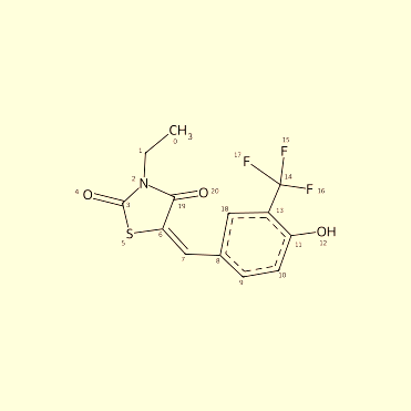 CCN1C(=O)S/C(=C/c2ccc(O)c(C(F)(F)F)c2)C1=O